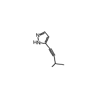 CC(C)C#Cc1ccn[nH]1